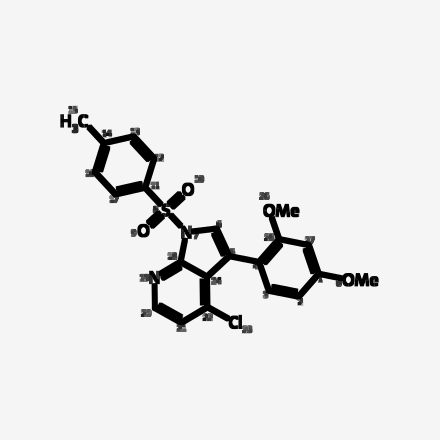 COc1ccc(-c2cn(S(=O)(=O)c3ccc(C)cc3)c3nccc(Cl)c23)c(OC)c1